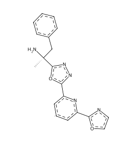 C[C@](N)(Cc1ccccc1)c1nnc(-c2c[c]cc(-c3ncco3)n2)o1